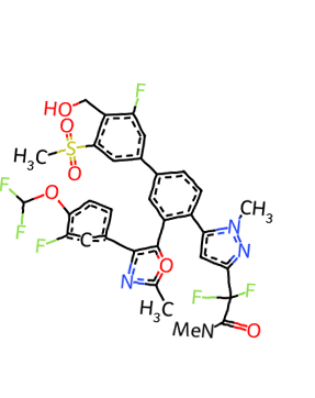 CNC(=O)C(F)(F)c1cc(-c2ccc(-c3cc(F)c(CO)c(S(C)(=O)=O)c3)cc2-c2oc(C)nc2-c2ccc(OC(F)F)c(F)c2)n(C)n1